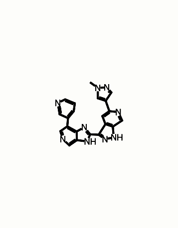 Cn1cc(-c2cc3c(-c4nc5c(-c6cccnc6)cncc5[nH]4)n[nH]c3cn2)cn1